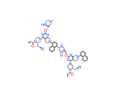 C=CC(=O)N1CCN(c2nc(OC[C@@H]3CN(C)C(c4ccc(N5CCc6c(nc(OC[C@H]7CN(C)CCN7)nc6N6CCN(C(=O)C=C)C(CC#N)C6)C5)c5ccccc45)CN3)nc3c2CCN(c2cccc4ccccc24)C3)CC1CC#N